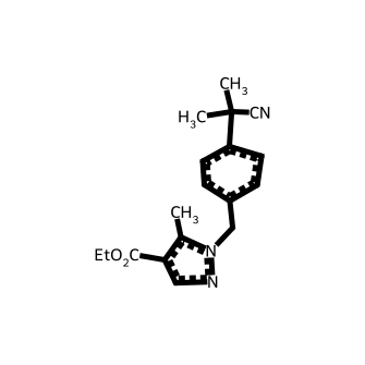 CCOC(=O)c1cnn(Cc2ccc(C(C)(C)C#N)cc2)c1C